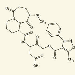 CN[C@H]1CCC(=O)N2CCC[C@@H](C(=O)N[C@@H](CC(=O)O)C(=O)COC(=O)c3c(-c4ccccc4)noc3C)N2C1=O